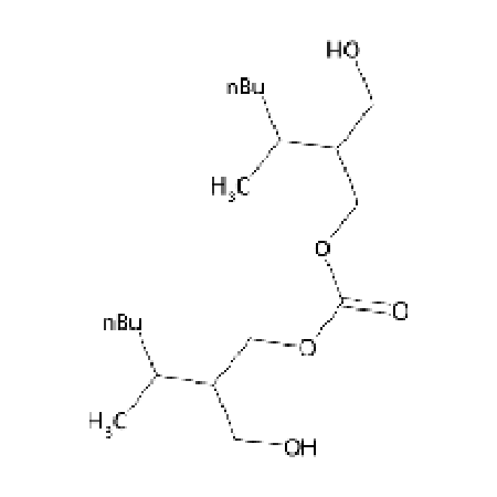 CCCCC(C)C(CO)COC(=O)OCC(CO)C(C)CCCC